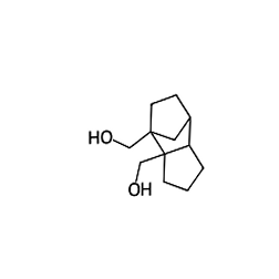 OCC12CCC(C1)C1CCCC12CO